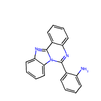 Nc1ccccc1-c1nc2ccccc2c2nc3ccccc3n12